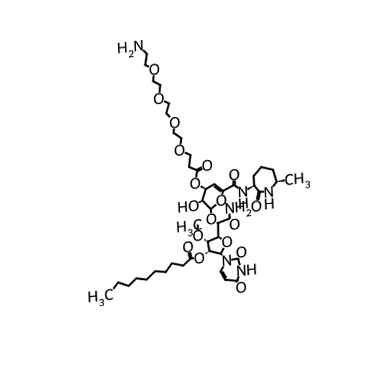 CCCCCCCCCC(=O)O[C@@H]1[C@H](OC)[C@@H]([C@@H](OC2OC(C(=O)N[C@H]3CCC[C@@H](C)NC3=O)=C[C@H](OC(=O)CCOCCOCCOCCOCCN)[C@@H]2O)C(N)=O)O[C@H]1n1ccc(=O)[nH]c1=O